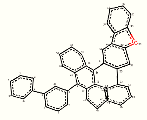 c1ccc(-c2cccc(-c3c4ccccc4c(-c4cc5c(cc4-c4ccccc4)oc4ccccc45)c4ccccc34)c2)cc1